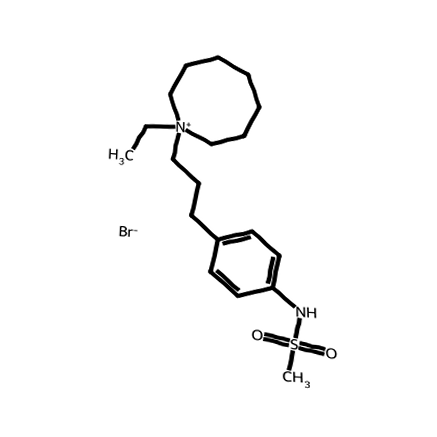 CC[N+]1(CCCc2ccc(NS(C)(=O)=O)cc2)CCCCCCC1.[Br-]